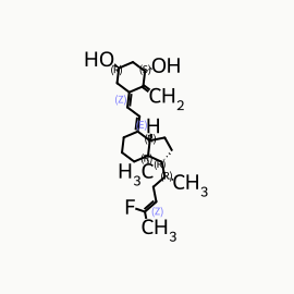 C=C1/C(=C\C=C2/CCC[C@]3(C)[C@@H]([C@H](C)C/C=C(/C)F)CC[C@@H]23)C[C@@H](O)C[C@@H]1O